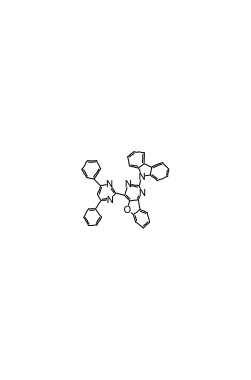 c1ccc(-c2cc(-c3ccccc3)nc(-c3nc(-n4c5ccccc5c5ccccc54)nc4c3oc3ccccc34)n2)cc1